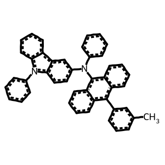 Cc1cccc(-c2c3ccccc3c(N(c3ccccc3)c3ccc4c(c3)c3ccccc3n4-c3ccccc3)c3ccccc23)c1